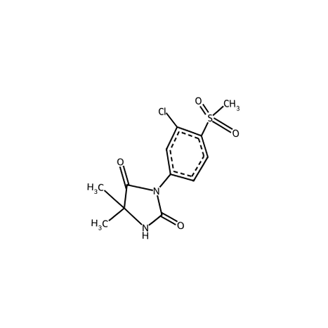 CC1(C)NC(=O)N(c2ccc(S(C)(=O)=O)c(Cl)c2)C1=O